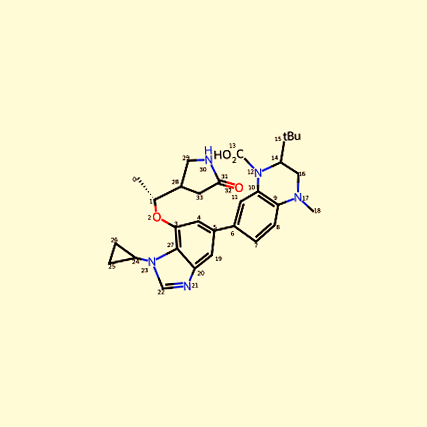 C[C@@H](Oc1cc(-c2ccc3c(c2)N(C(=O)O)C(C(C)(C)C)CN3C)cc2ncn(C3CC3)c12)C1CNC(=O)C1